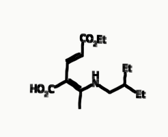 CCOC(=O)C=CC(C(=O)O)=C(C)NCC(CC)CC